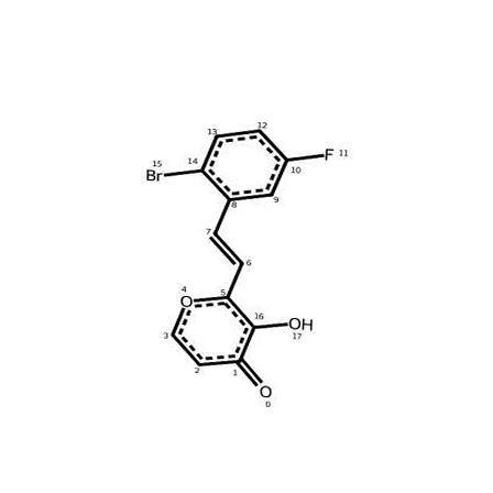 O=c1ccoc(/C=C/c2cc(F)ccc2Br)c1O